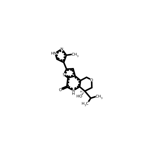 Cc1n[nH]cc1-c1cc2c3c([nH]c(=O)c2s1)[C@](O)(C(C)C)COC3